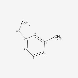 Cc1cccc(C[AsH2])c1